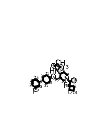 CS(=O)(=O)N[C@H]1CCN(C(=O)C2(F)CCC2)C[C@H]1CO[C@H]1CC[C@@H](c2cccc(F)c2)CC1